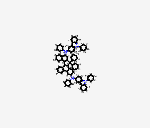 c1ccc(N(c2ccc3c4c(c5ccccc5c3c2)-c2c(cc(N(c3ccccc3)c3ccc5c(c3)c3ccccc3n5-c3ccccc3)c3ccccc23)C4(c2ccccc2)c2ccccc2)c2ccc3c(c2)c2ccccc2n3-c2ccccc2)cc1